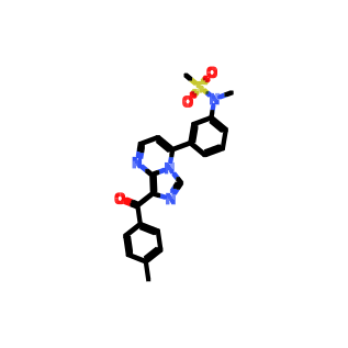 Cc1ccc(C(=O)c2ncn3c(-c4cccc(N(C)S(C)(=O)=O)c4)ccnc23)cc1